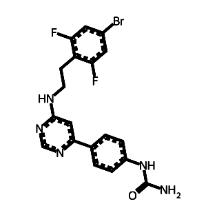 NC(=O)Nc1ccc(-c2cc(NCCc3c(F)cc(Br)cc3F)ncn2)cc1